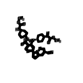 COC(=O)NC1CCC(NC(=O)c2cnc(-c3ccc4cc(C#N)cnn34)cc2N[C@H]2CC[C@H](NC(=O)OC)CC2)CC1